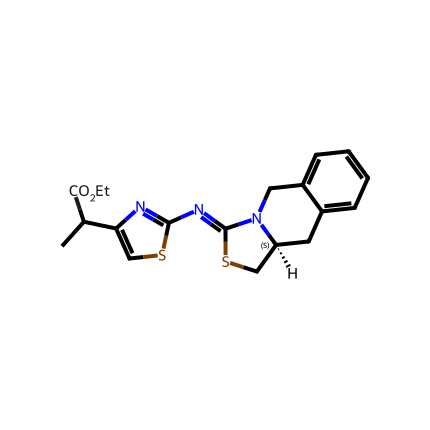 CCOC(=O)C(C)c1csc(N=C2SC[C@@H]3Cc4ccccc4CN23)n1